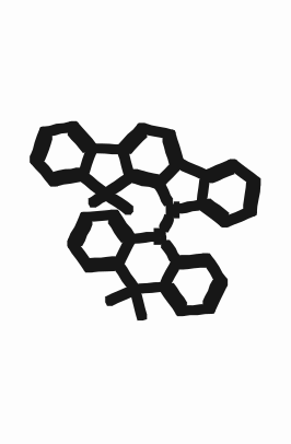 CC1(C)c2ccccc2B(n2c3ccccc3c3ccc4c(c32)C(C)(C)c2ccccc2-4)c2ccccc21